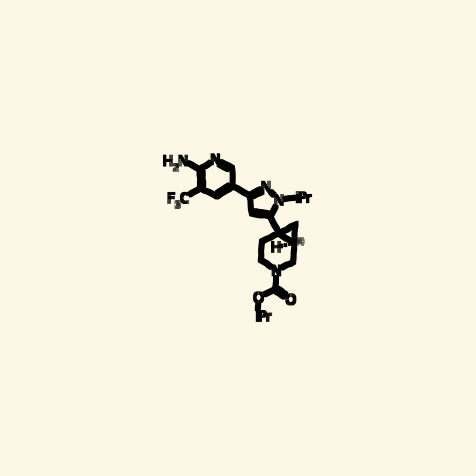 CC(C)OC(=O)N1CCC2(c3cc(-c4cnc(N)c(C(F)(F)F)c4)nn3C(C)C)C[C@H]2C1